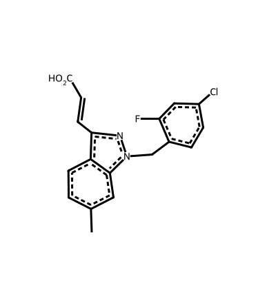 Cc1ccc2c(/C=C/C(=O)O)nn(Cc3ccc(Cl)cc3F)c2c1